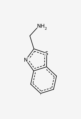 NCc1nc2c[c]ccc2s1